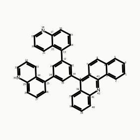 c1ccc2c(c1)ccc1c(-c3cc(-c4cccc5ncccc45)cc(-c4cccc5ncccc45)c3)c3ccccc3nc12